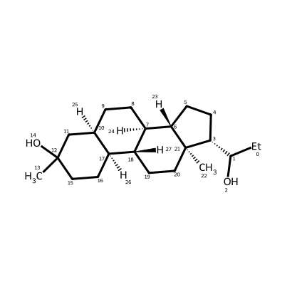 CCC(O)[C@H]1CC[C@H]2[C@@H]3CC[C@@H]4CC(C)(O)CC[C@@H]4[C@H]3CC[C@]12C